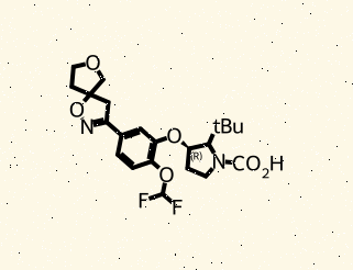 CC(C)(C)C1[C@H](Oc2cc(C3=NOC4(CCOC4)C3)ccc2OC(F)F)CCN1C(=O)O